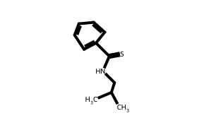 CC(C)CNC(=S)c1ccccc1